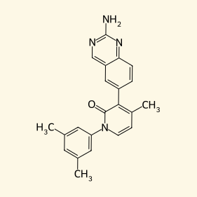 Cc1cc(C)cc(-n2ccc(C)c(-c3ccc4nc(N)ncc4c3)c2=O)c1